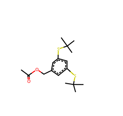 CC(=O)OCc1cc(SC(C)(C)C)cc(SC(C)(C)C)c1